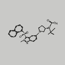 Cn1nc2ccc(N3CC[C@@H](N(C(=O)O)C(C)(C)C)C3)cc2c1S(=O)(=O)c1cccc2ccccc12